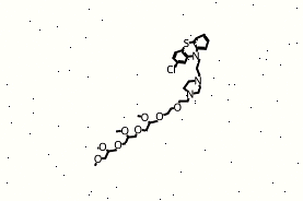 COCC(COCC(COCC(COCCOCCN1CCN(CCCN2c3ccccc3Sc3ccc(Cl)cc32)CC1)OC)OC)OC